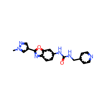 Cn1cc(-c2nc3ccc(NC(=O)NCc4ccncc4)cc3o2)cn1